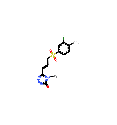 Cn1c(C=CCS(=O)(=O)c2ccc(C(=O)O)c(Cl)c2)n[nH]c1=O